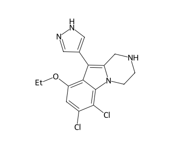 CCOc1cc(Cl)c(Cl)c2c1c(-c1cn[nH]c1)c1n2CCNC1